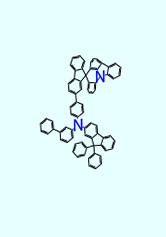 c1ccc(-c2cccc(N(c3ccc(-c4ccc5c(c4)C4(c6ccccc6-5)c5ccccc5-n5c6ccccc6c6cccc4c65)cc3)c3ccc4c(c3)C(c3ccccc3)(c3ccccc3)c3ccccc3-4)c2)cc1